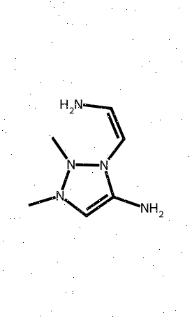 CN1C=C(N)N(/C=C\N)N1C